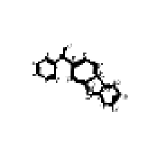 CC(c1ccccc1)c1ccc2c(c1)sc1ccccc12